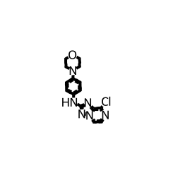 Clc1nccn2nc(Nc3ccc(N4CCOCC4)cc3)nc12